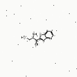 CCC(N)[C@H](O)c1nc2ncccc2o1